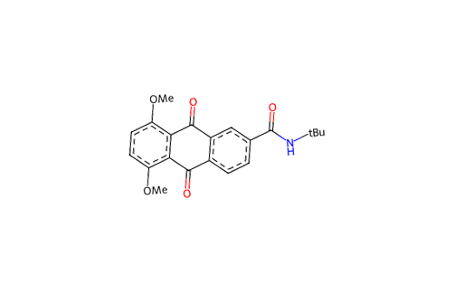 COc1ccc(OC)c2c1C(=O)c1ccc(C(=O)NC(C)(C)C)cc1C2=O